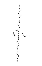 [CH2]CCc1c(CCCCCCCCC)cccc1CCCCCCCCC